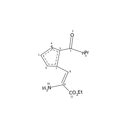 CCCC(=O)c1sccc1C=C(N)C(=O)OCC